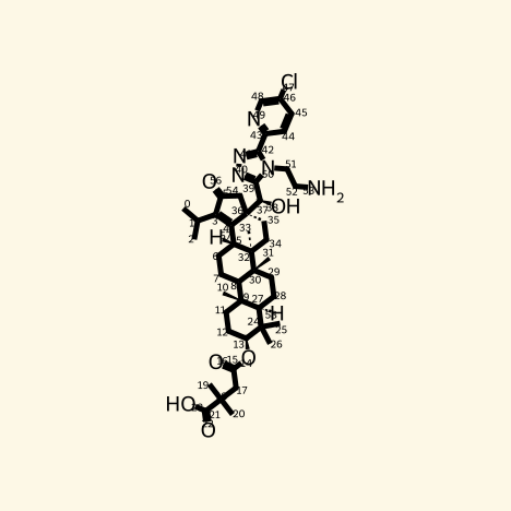 CC(C)C1=C2[C@H]3CCC4[C@@]5(C)CC[C@H](OC(=O)CC(C)(C)C(=O)O)C(C)(C)[C@@H]5CC[C@@]4(C)[C@]3(C)CC[C@@]2([C@H](O)c2nnc(-c3ccc(Cl)cn3)n2CCN)CC1=O